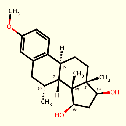 COc1ccc2c(c1)C[C@@H](C)[C@@H]1[C@@H]2CC[C@]2(C)[C@@H](O)C[C@@H](O)[C@]12C